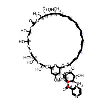 C[C@@H]1[C@H](O)[C@@H](C)/C=C/C=C/C=C/C=C/C=C/C=C/C=C/[C@H](O[C@H]2O[C@@H](C)[C@@H](O)[C@H](N)[C@@H]2O)C[C@@H]2O[C@](O)(C[C@@H](O)C[C@@H](O)[C@H](O)CC[C@@H](O)C[C@@H](O)CC(=O)O[C@H]1C)C[C@H](O)[C@H]2C(=O)NNC(=O)c1cnccn1